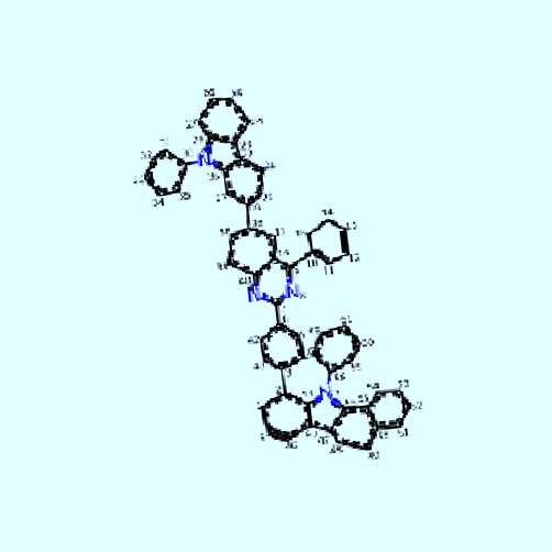 c1cc(-c2ccc(-c3nc(C4=CC=CCC4)c4cc(-c5ccc6c7ccccc7n(-c7ccccc7)c6c5)ccc4n3)cc2)c2c(c#1)c1ccc3ccccc3c1n2-c1ccccc1